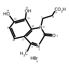 Br.Cc1nc(=O)n(CCC(=O)O)c2c(O)c(O)ccc12